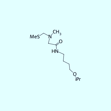 CSCN(C)CC(=O)NCCCCOC(C)C